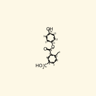 Cc1ccc(C(=O)O)cc1C(=O)Oc1ccc(O)cc1